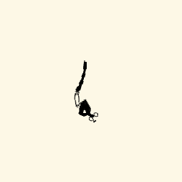 C#CC#CC#CC#COc1ccc(C(=O)OC)cc1